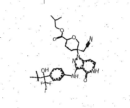 CC(C)COC(=O)C1CC[C@@](CC#N)(n2nc(Nc3ccc(C(O)(C(C)(C)C)C(F)(F)F)cc3)c3c(=O)[nH]ccc32)CO1